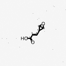 O=C(O)C=CC1C2OC12